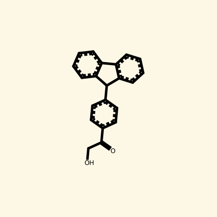 O=C(CO)c1ccc(C2c3ccccc3-c3ccccc32)cc1